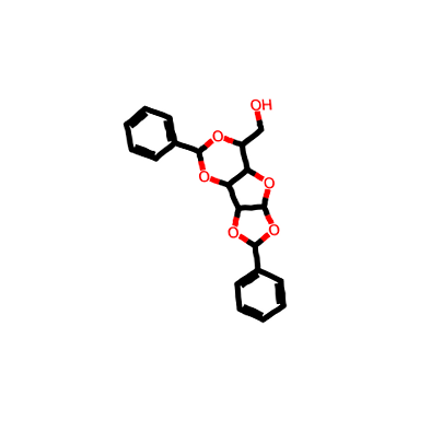 OCC1OC(c2ccccc2)OC2C1OC1OC(c3ccccc3)OC12